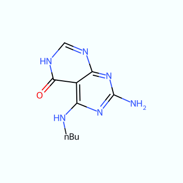 CCCCNc1nc(N)nc2nc[nH]c(=O)c12